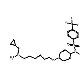 CN(CCCCCCOC1CCC(N(C)S(=O)(=O)c2ccc(C(F)(F)F)cc2)CC1)CC1CC1